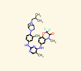 Cc1cc(Nc2ncc(C)c(Nc3ccc4c(c3)N(C)C(=O)C(F)(F)O4)n2)ccc1N1CC2CC1CN2CC(C)C